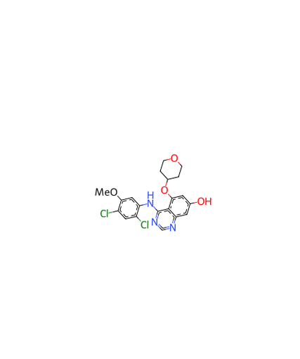 COc1cc(Nc2ncnc3cc(O)cc(OC4CCOCC4)c23)c(Cl)cc1Cl